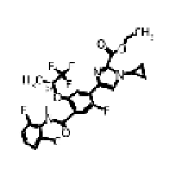 CCOC(=O)c1nc(-c2cc(O[C@@H](C)C(F)(F)F)c(C(=O)Nc3c(F)cccc3Cl)cc2F)cn1C1CC1